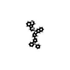 c1ccc(-n2c3ccccc3c3cc(-c4ccc5c(c4)c4cc6ccccc6cc4n5-c4ccc5c(n4)-c4ccnc6cccc-5c46)ccc32)cc1